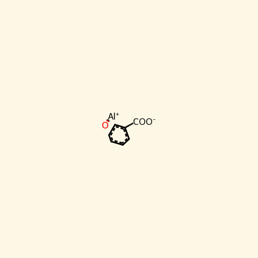 O=C([O-])c1ccccc1.[O]=[Al+]